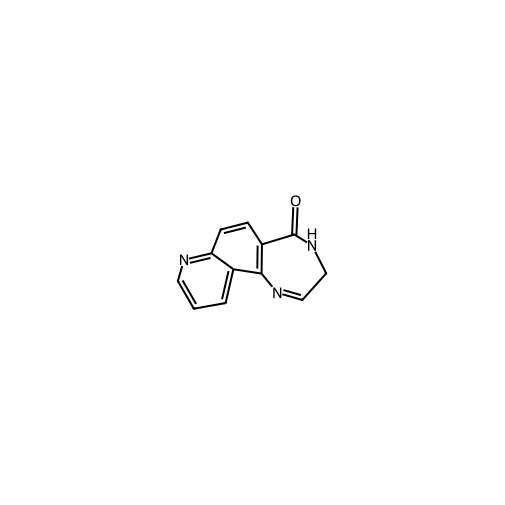 O=C1NCC=Nc2c1ccc1ncccc21